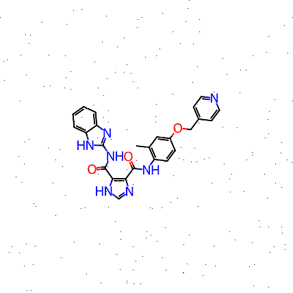 Cc1cc(OCc2ccncc2)ccc1NC(=O)c1nc[nH]c1C(=O)Nc1nc2ccccc2[nH]1